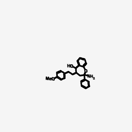 COc1ccc(CCC2CC(N)(c3ccccc3)Oc3ccccc3C2O)cc1